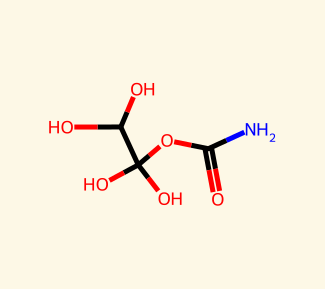 NC(=O)OC(O)(O)C(O)O